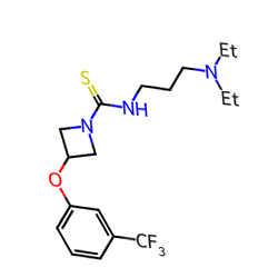 CCN(CC)CCCNC(=S)N1CC(Oc2cccc(C(F)(F)F)c2)C1